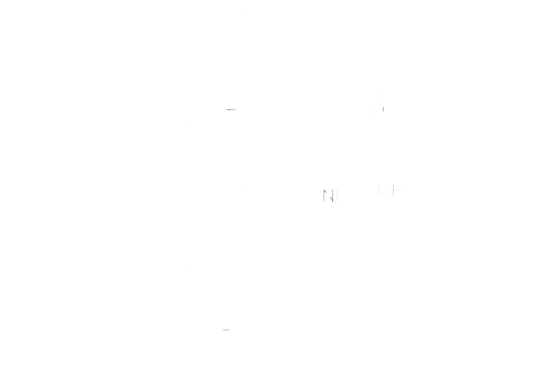 Fc1ccc2c(C3CCCCC3)c[nH]c2c1.O=CO